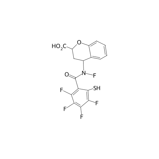 O=C(O)C1CC(N(F)C(=O)c2c(F)c(F)c(F)c(F)c2S)c2ccccc2O1